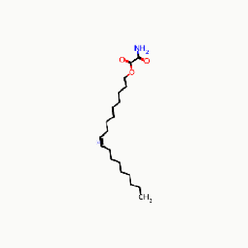 CCCCCCCC/C=C\CCCCCCCCOC(=O)C(N)=O